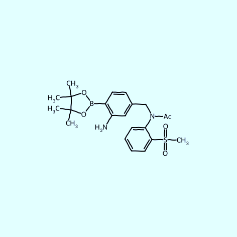 CC(=O)N(Cc1ccc(B2OC(C)(C)C(C)(C)O2)c(N)c1)c1ccccc1S(C)(=O)=O